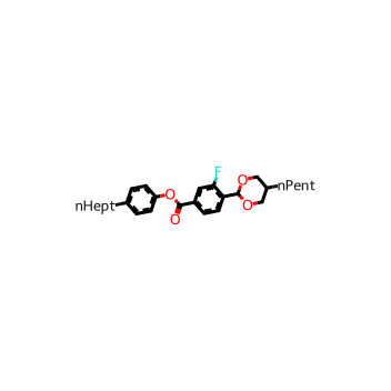 CCCCCCCc1ccc(OC(=O)c2ccc(C3OCC(CCCCC)CO3)c(F)c2)cc1